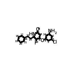 Nc1cc(Cl)cc(Oc2cc(=O)[nH]c(CCc3ccccc3)c2F)c1